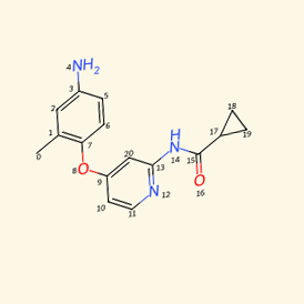 Cc1cc(N)ccc1Oc1ccnc(NC(=O)C2CC2)c1